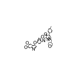 COc1cc2nccc(Oc3ccc(N(C)C(=O)c4nn(CC5CCOCC5)cc(-c5ccc(C)cc5)c4=O)nc3)c2cc1OC